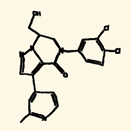 Cc1cc(-c2cnn3c2C(=O)N(c2ccc(Cl)c(Cl)c2)CC3CO)ccn1